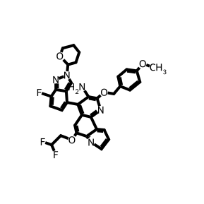 COc1ccc(COc2nc3c(cc(OCC(F)F)c4ncccc43)c(-c3ccc(F)c4nn(C5CCCCO5)cc34)c2N)cc1